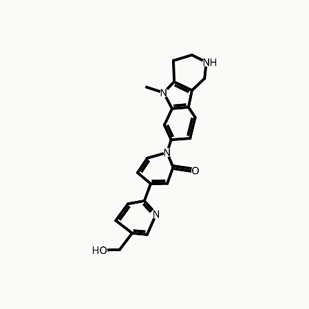 Cn1c2c(c3ccc(-n4ccc(-c5ccc(CO)cn5)cc4=O)cc31)CNCC2